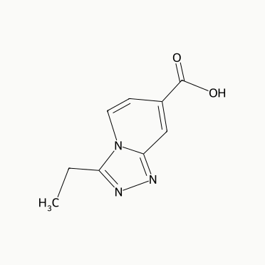 CCc1nnc2cc(C(=O)O)ccn12